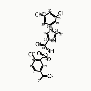 CC(=O)c1ccc(Cl)c(S(=O)(=O)NC(=O)c2cn(-c3cc(Cl)cc(Cl)c3)c(C)n2)c1